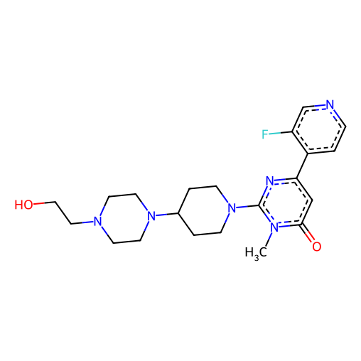 Cn1c(N2CCC(N3CCN(CCO)CC3)CC2)nc(-c2ccncc2F)cc1=O